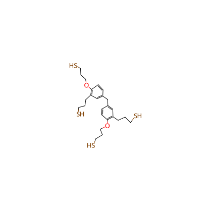 SCCCOc1ccc(Cc2ccc(OCCCS)c(CCCS)c2)cc1CCCS